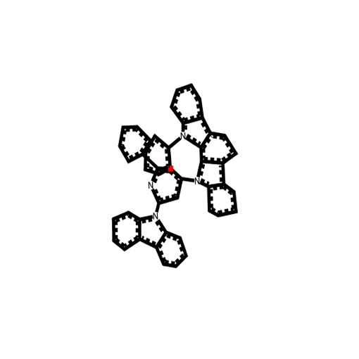 c1ccc(-c2cc(-n3c4ccccc4c4ccc5c6ccccc6n(-c6ccccc6)c5c43)cc(-n3c4ccccc4c4ccccc43)n2)cc1